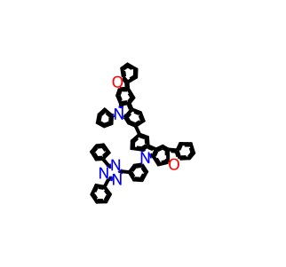 c1ccc(-c2nc(-c3ccccc3)nc(-c3cccc(-n4c5ccc(-c6ccc7c8cc9c(cc8n(-c8ccccc8)c7c6)oc6ccccc69)cc5c5cc6c(cc54)oc4ccccc46)c3)n2)cc1